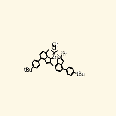 CC1=Cc2c(-c3ccc(C(C)(C)C)cc3)ccc(C)c2[CH]1[Zr+2](=[C](C)C)[CH]1C(C(C)C)=Cc2c(-c3ccc(C(C)(C)C)cc3)cccc21.[Cl-].[Cl-]